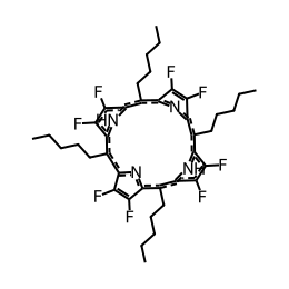 CCCCCc1c2nc(c(CCCCC)c3[nH]c(c(F)c3F)c(CCCCC)c3nc(c(CCCCC)c4[nH]c1c(F)c4F)C(F)=C3F)C(F)=C2F